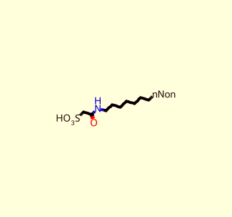 CCCCCCCCCCCCCCCCNC(=O)CS(=O)(=O)O